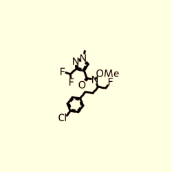 CON(C(=O)c1cn(C)nc1C(F)F)C(CF)CCc1ccc(Cl)cc1